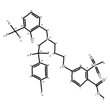 COC(=O)c1ccc(OCCCN(Cc2cccc(C(F)(F)F)c2Cl)CC(F)(F)c2ccc(F)cc2)cc1S(C)(=O)=O